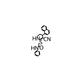 N#CC1=C(SCC(=O)Nc2ccccc2)NCCC1c1cccc2ccccc12